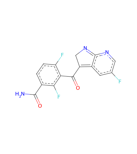 NC(=O)c1ccc(F)c(C(=O)C2=c3cc(F)cnc3=NC2)c1F